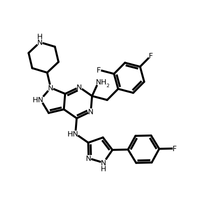 NC1(Cc2ccc(F)cc2F)N=C(Nc2cc(-c3ccc(F)cc3)[nH]n2)C2=CNN(C3CCNCC3)C2=N1